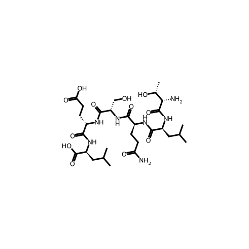 CC(C)C[C@H](NC(=O)[C@H](CCC(=O)O)NC(=O)[C@H](CO)NC(=O)[C@H](CCC(N)=O)NC(=O)[C@H](CC(C)C)NC(=O)[C@@H](N)[C@@H](C)O)C(=O)O